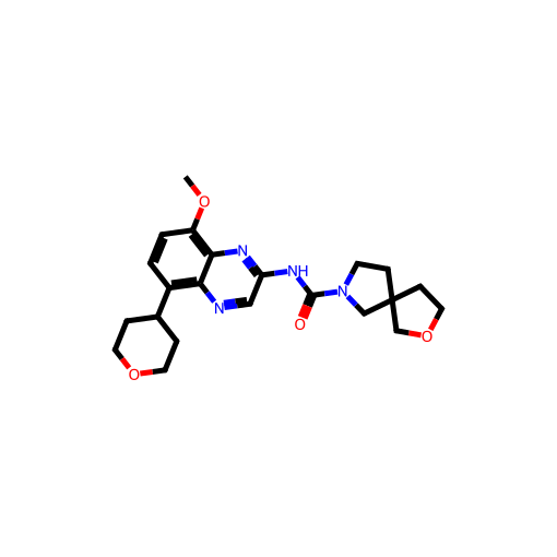 COc1ccc(C2CCOCC2)c2ncc(NC(=O)N3CCC4(CCOC4)C3)nc12